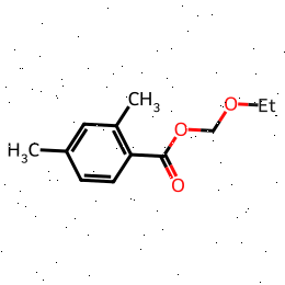 CCOCOC(=O)c1ccc(C)cc1C